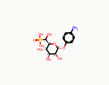 Nc1ccc(O[C@H]2O[C@H](C(O)P(=O)(O)O)[C@@H](O)[C@H](O)[C@@H]2O)cc1